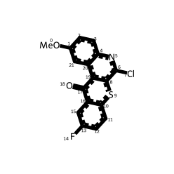 COc1ccc2nc(Cl)c3sc4ccc(F)cc4c(=O)c3c2c1